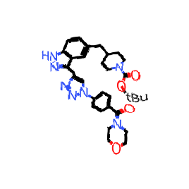 CC(C)(C)OC(=O)N1CCC(Cc2ccc3[nH]nc(-c4cn(-c5ccc(C(=O)N6CCOCC6)cc5)nn4)c3c2)CC1